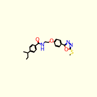 CCC(C)c1ccc(C(=O)NCCOc2ccc(-c3nnc(SC)o3)cc2)cc1